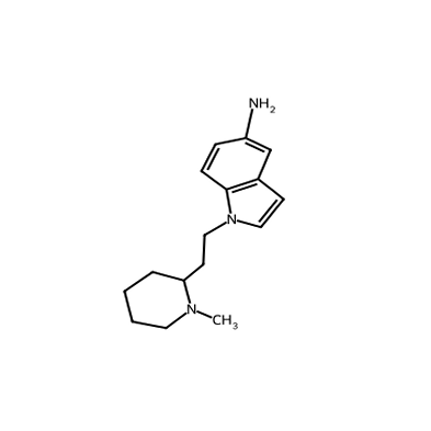 CN1CCCCC1CCn1ccc2cc(N)ccc21